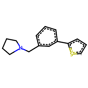 [c]1ccc(-c2cccc(CN3CCCC3)c2)s1